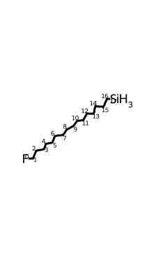 FCCCCCCCCCCCCCCCC[SiH3]